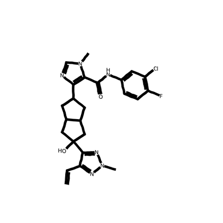 C=Cc1nn(C)nc1C1(O)CC2CC(c3ncn(C)c3C(=O)Nc3ccc(F)c(Cl)c3)CC2C1